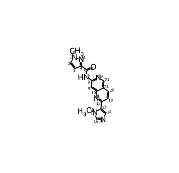 Cn1ccc(C(=O)Nc2cc3nc(-c4cncn4C)ccc3cn2)n1